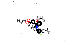 CCOC(=O)CC1CCCC(c2c(C(C)C)n(-c3ccc(F)c(C)c3)c3cccc(OC)c23)C1